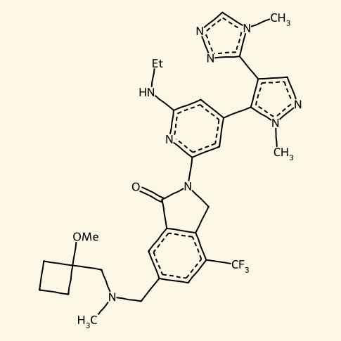 CCNc1cc(-c2c(-c3nncn3C)cnn2C)cc(N2Cc3c(cc(CN(C)CC4(OC)CCC4)cc3C(F)(F)F)C2=O)n1